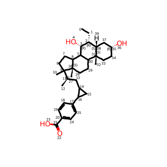 CC[C@H]1[C@@H](O)C2C3CCC(C)([C@H](C)CC4CC4c4ccc(C(=O)O)cc4)[C@@]3(C)CCC2[C@@]2(C)CC[C@@H](O)C[C@@H]12